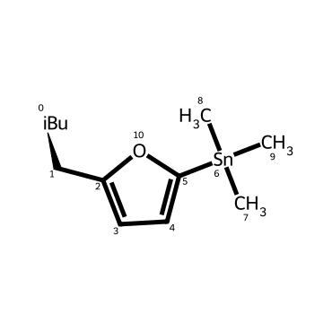 CC[C@H](C)Cc1cc[c]([Sn]([CH3])([CH3])[CH3])o1